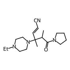 CCN1CCN(C(C)(C=CC#N)C(C)C(=O)N2CCCC2)CC1